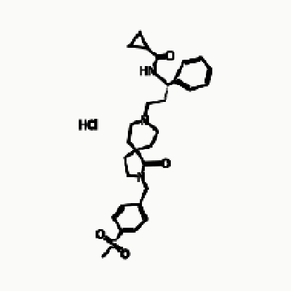 CS(=O)(=O)c1ccc(CN2CCC3(CCN(CC[C@H](NC(=O)C4CC4)c4ccccc4)CC3)C2=O)cc1.Cl